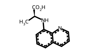 C[C@H](Nc1cccc2cccnc12)C(=O)O